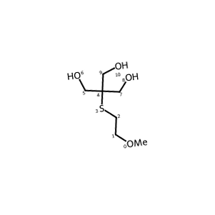 COCCSC(CO)(CO)CO